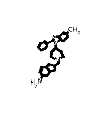 Cc1ccc2c(c1)nc(-c1ccccc1)n2C1CCN(CC2Cc3ccc(N)cc3C2)CC1